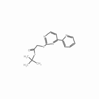 CC(C)(C)SC(=O)CSc1nccc(-c2ccccn2)n1